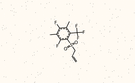 C=CCS(=O)(=O)c1c(F)c(C)c(F)c(C)c1C(F)(F)F